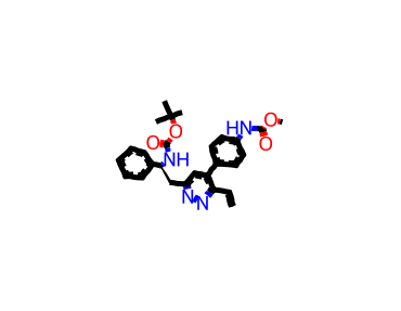 C=Cc1nnc(C[C@H](NC(=O)OC(C)(C)C)c2ccccc2)cc1-c1ccc(NC(=O)OC)cc1